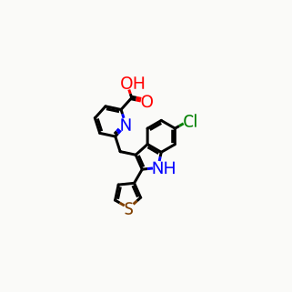 O=C(O)c1cccc(Cc2c(-c3ccsc3)[nH]c3cc(Cl)ccc23)n1